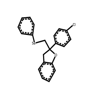 Clc1ccc(C2(C[Se]c3ccccc3)Cc3ccccc3O2)cc1